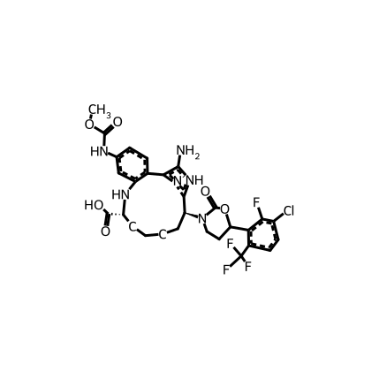 COC(=O)Nc1ccc2c(c1)N[C@@H](C(=O)O)CCCC[C@H](N1CCC(c3c(C(F)(F)F)ccc(Cl)c3F)OC1=O)c1nc-2c(N)[nH]1